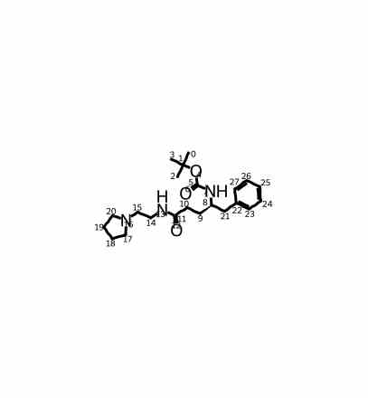 CC(C)(C)OC(=O)N[C@H](CCC(=O)NCCN1CCCC1)Cc1ccccc1